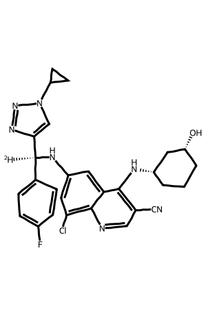 [2H][C@](Nc1cc(Cl)c2ncc(C#N)c(N[C@H]3CCC[C@@H](O)C3)c2c1)(c1ccc(F)cc1)c1cn(C2CC2)nn1